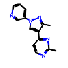 Cc1nccc(-c2cn(-c3cccnc3)nc2C)n1